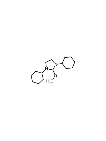 COC1N(C2CCCCC2)CCN1C1CCCCC1